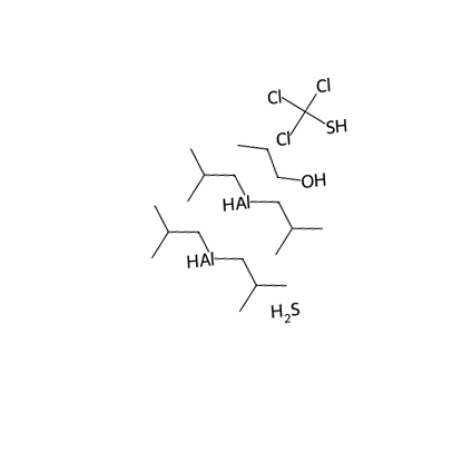 CC(C)[CH2][AlH][CH2]C(C)C.CC(C)[CH2][AlH][CH2]C(C)C.CCCO.S.SC(Cl)(Cl)Cl